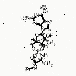 CCOc1nc(N)nc2c1ncn2[C@@H]1O[C@@H]2COP(=O)(N[C@@H](C)C(=O)OC(C)C)O[C@H]2[C@@]1(C)O